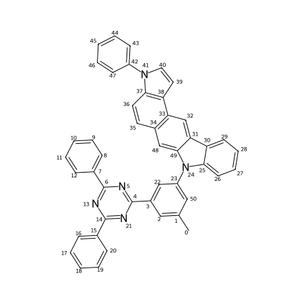 Cc1cc(-c2nc(-c3ccccc3)nc(-c3ccccc3)n2)cc(-n2c3ccccc3c3cc4c(ccc5c4ccn5-c4ccccc4)cc32)c1